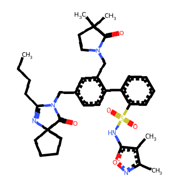 CCCCC1=NC2(CCCC2)C(=O)N1Cc1ccc(-c2ccccc2S(=O)(=O)Nc2onc(C)c2C)c(CN2CCC(C)(C)C2=O)c1